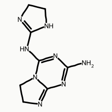 NC1=NC2=NCCN2C(NC2=NCCN2)=N1